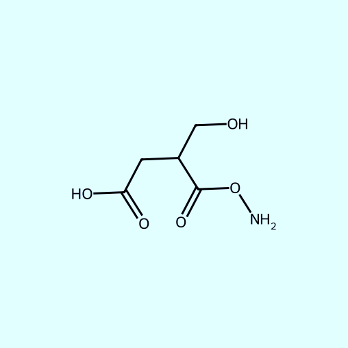 NOC(=O)C(CO)CC(=O)O